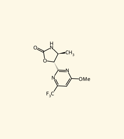 COc1cc(C(F)(F)F)nc([C@@H]2OC(=O)N[C@H]2C)n1